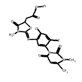 CC(C)OC(=O)CC1S/C(=N\c2cc(-n3c(=O)cc(C(F)(F)F)n(C)c3=O)c(F)cc2Cl)N(C)C1=O